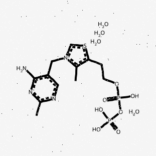 Cc1ncc(C[n+]2csc(CCOP(=O)(O)OP(=O)(O)O)c2C)c(N)n1.O.O.O.O